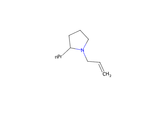 C=CCN1CCCC1CCC